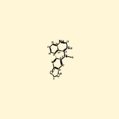 CN(c1ccc2c(c1)OCO2)c1ncnc2ccccc12